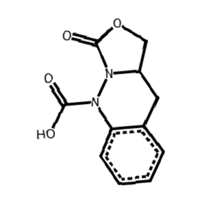 O=C(O)N1c2ccccc2CC2COC(=O)N21